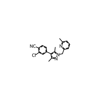 Cc1cccc(Cn2nc(C)c(-c3ccc(C#N)c(Cl)c3)c2C)n1